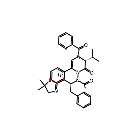 CC(=O)N([C@@H](Cc1ccccc1)C(O)C1=NCC(C)(C)S1)N1C(=O)[C@@H](C(C)C)N(C(=O)c2ccccn2)C=C1c1ccccc1